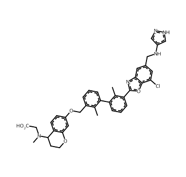 Cc1c(COc2ccc3c(c2)OCCC3N(C)CC(=O)O)cccc1-c1cccc(-c2nc3cc(CNc4cn[nH]c4)cc(Cl)c3o2)c1C